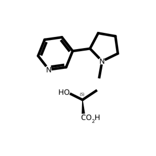 CN1CCCC1c1cccnc1.C[C@H](O)C(=O)O